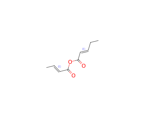 C/C=C/C(=O)OC(=O)/C=C/CC